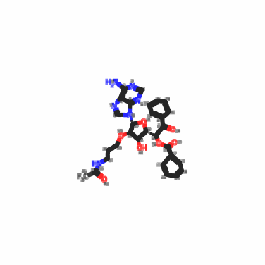 Nc1ncnc2c1ncn2[C@@H]1O[C@H](C(OC(=O)c2ccccc2)C(=O)c2ccccc2)[C@@H](O)[C@H]1OCCCNC(=O)C(F)(F)F